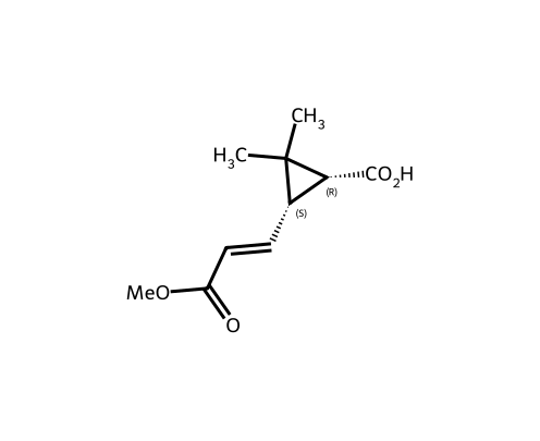 COC(=O)C=C[C@H]1[C@@H](C(=O)O)C1(C)C